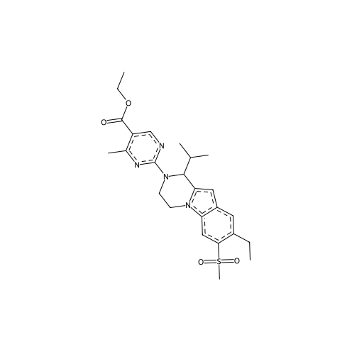 CCOC(=O)c1cnc(N2CCn3c(cc4cc(CC)c(S(C)(=O)=O)cc43)C2C(C)C)nc1C